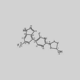 Cc1nc(N2CCC(O)C2)ncc1-c1cc(C(F)(F)F)cc2[nH]ncc12